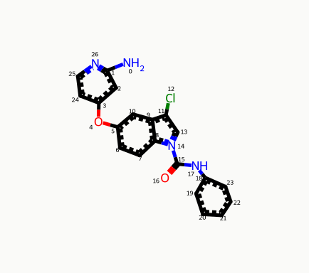 Nc1cc(Oc2ccc3c(c2)c(Cl)cn3C(=O)Nc2ccccc2)ccn1